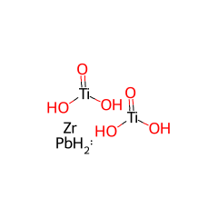 [O]=[Ti]([OH])[OH].[O]=[Ti]([OH])[OH].[PbH2].[Zr]